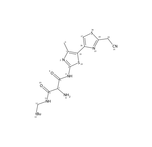 Cc1nc(NC(=O)C(N)C(=O)NCC(C)(C)C)sc1-c1csc(CC#N)n1